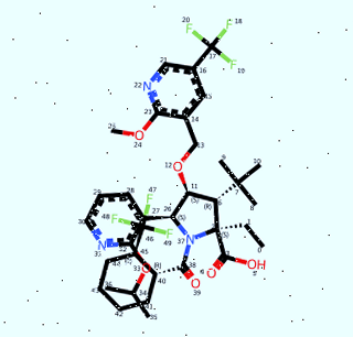 CC[C@@]1(C(=O)O)[C@@H](C(C)(C)C)[C@H](OCc2cc(C(F)(F)F)cnc2OC)[C@H](c2cccnc2OC(C)C)N1C(=O)[C@@H]1CCCC[C@H]1C(F)(F)F